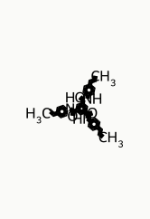 CCCC1CCC(NC(=O)c2cc(C(=O)NC3CCC(CCC)CC3)cc(C(=O)NC3CCC(CCC)CC3)c2)CC1